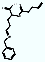 C=CCCC(=O)NC(CCC=[SH]Cc1ccccc1)C(=O)O